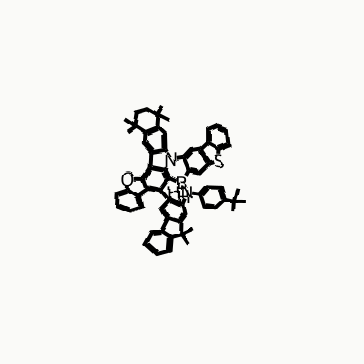 CC(C)(C)c1ccc(Nc2cc3c(cc2-c2c4c5c(c6cc7c(cc6n5-c5cc6c(cc5B4)sc4ccccc46)C(C)(C)CCC7(C)C)c4oc5ccccc5c24)-c2ccccc2C3(C)C)cc1